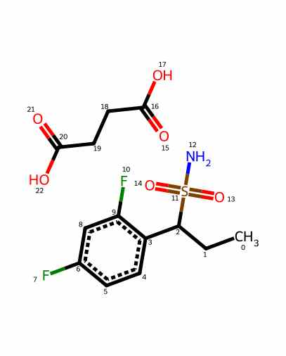 CCC(c1ccc(F)cc1F)S(N)(=O)=O.O=C(O)CCC(=O)O